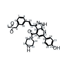 CS(=O)(=O)Cc1cccc(/C=C/c2n[nH]c3nc(-c4ccc(O)cc4)cc(C(=O)N4CCNCC4)c23)c1